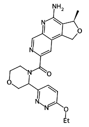 CCOc1ccc(C2COCCN2C(=O)c2cc3c4c(c(N)nc3cn2)[C@@H](C)OC4)nn1